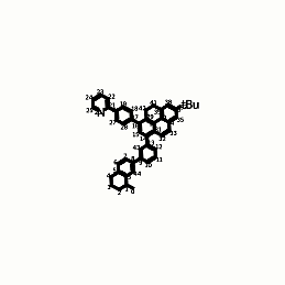 CC1CCCc2ccc(-c3cccc(-c4cc(-c5ccc(-c6ccccn6)cc5)c5c6c4ccc4cc(C(C)(C)C)cc(c46)CC5)c3)cc21